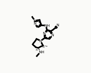 CN[C@@H]1CCCN(c2cnc(C#N)c(Nc3cnn(C)c3)n2)[C@@H]1C